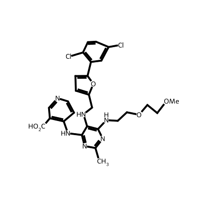 COCCOCCNc1nc(C)nc(Nc2ccncc2C(=O)O)c1NCc1ccc(-c2cc(Cl)ccc2Cl)o1